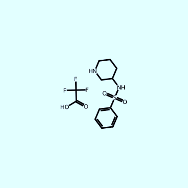 O=C(O)C(F)(F)F.O=S(=O)(NC1CCCNC1)c1ccccc1